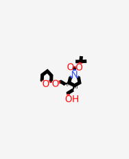 CC(C)(C)OC(=O)N1CC[C@@H](CCO)[C@@H](CCOC2CCCCO2)C1